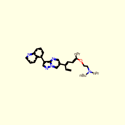 C=C/C(=C\C=C(/CCC)OCCN(CCC)CCCC)c1cnc2c(-c3cccc4ncccc34)cnn2c1